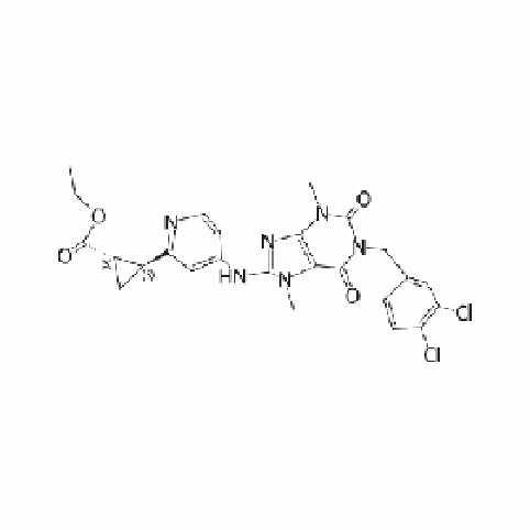 CCOC(=O)[C@H]1C[C@@H]1c1cc(Nc2nc3c(c(=O)n(Cc4ccc(Cl)c(Cl)c4)c(=O)n3C)n2C)ccn1